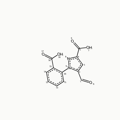 O=Cc1cc(C(=O)O)nn1-c1ccccc1C(=O)O